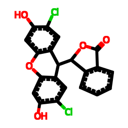 O=C1OC(C2c3cc(Cl)c(O)cc3Oc3cc(O)c(Cl)cc32)c2ccccc21